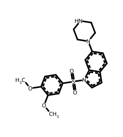 COc1ccc(S(=O)(=O)n2ccc3ccc(N4CCNCC4)cc32)cc1OC